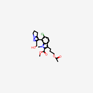 COC(=O)c1c(CCCOC(C)=O)c2ccc(Cl)c(-c3c(CO)nn4c3CCC4)c2n1C